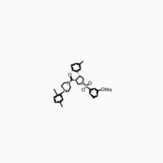 COc1cccc(S(=O)(=O)N2C[C@@H](C(=O)N3CCN(c4cc(C)ccc4C)CC3)[C@H](c3cccc(C)c3)C2)c1